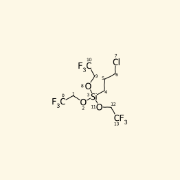 FC(F)(F)CO[Si](CCCCl)(OCC(F)(F)F)OCC(F)(F)F